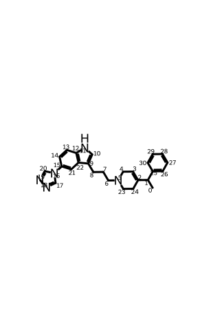 CC(C1=CCN(CCCc2c[nH]c3ccc(-n4cnnc4)cc23)CC1)c1ccccc1